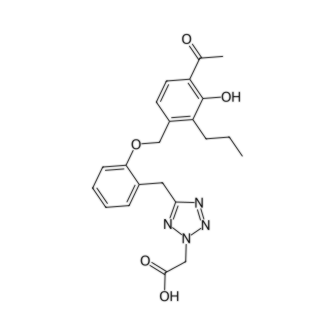 CCCc1c(COc2ccccc2Cc2nnn(CC(=O)O)n2)ccc(C(C)=O)c1O